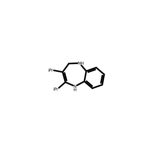 CC(C)C1=C(C(C)C)Nc2ccccc2NC1